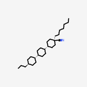 CCCCCCC[C@]1(C#N)CC[C@H](C2CCC([C@H]3CC[C@H](CCC)CC3)CC2)CC1